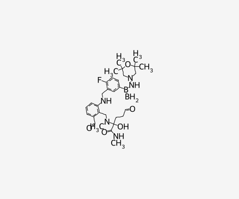 BB(NN1CC(C)(C)OC(C)(C)C1)c1ccc(F)c(CNc2cccc(C=O)c2CN(C)C(O)(CCC=O)C(=O)NC)c1